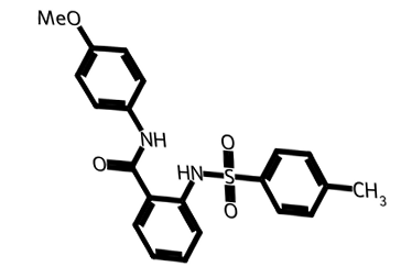 COc1ccc(NC(=O)c2ccccc2NS(=O)(=O)c2ccc(C)cc2)cc1